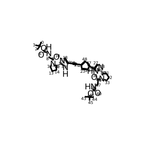 CC(C)(C)OC(=O)NCC(=O)N1CCC[C@H]1c1ncc(C#Cc2ccc(-c3cnc([C@@H]4CCCN4C(=O)CNC(=O)OC(C)(C)C)[nH]3)cc2)[nH]1